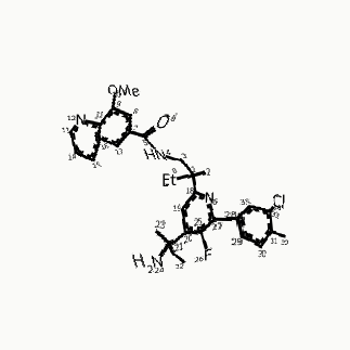 CCC(C)(CNC(=O)c1cc(OC)c2ncccc2c1)c1cc(C(C)(C)N)c(F)c(-c2ccc(C)c(Cl)c2)n1